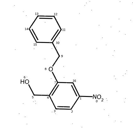 O=[N+]([O-])c1ccc(CO)c(OCc2ccccc2)c1